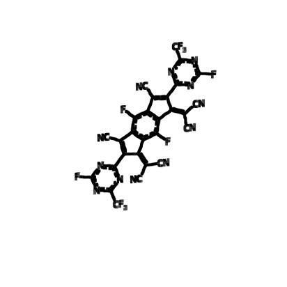 N#CC(C#N)=C1C(c2nc(F)nc(C(F)(F)F)n2)=C(C#N)c2c(F)c3c(c(F)c21)C(=C(C#N)C#N)C(c1nc(F)nc(C(F)(F)F)n1)=C3C#N